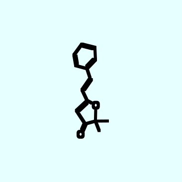 CC1(C)OC(C=Cc2ccccc2)=CC1=O